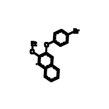 CCOc1[c]c2ccccc2cc1Oc1ccc(Br)cc1